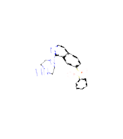 O=S(=O)(c1ccccc1)c1ccc2ccnc(N3CCNCC3)c2c1